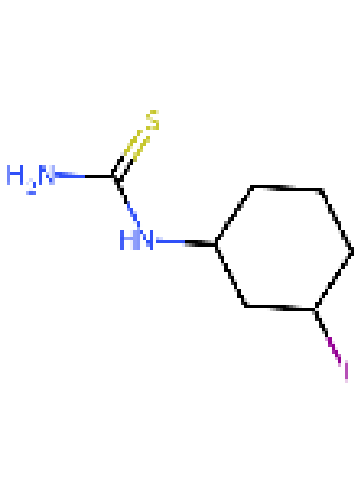 NC(=S)NC1CCCC(I)C1